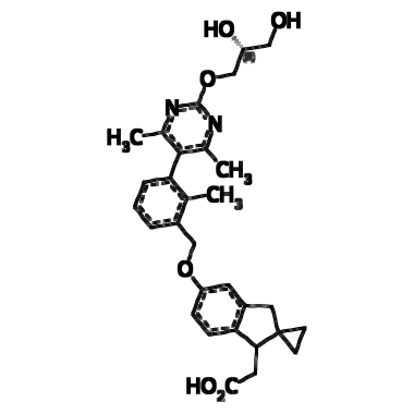 Cc1nc(OC[C@H](O)CO)nc(C)c1-c1cccc(COc2ccc3c(c2)CC2(CC2)C3CC(=O)O)c1C